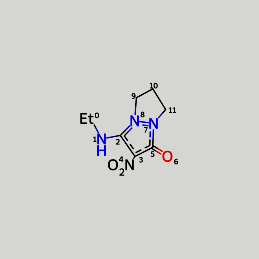 CCNc1c([N+](=O)[O-])c(=O)n2n1CCC2